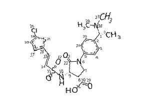 C[C@H](c1ccc(N2CC[C@H](NS(=O)(=O)C=Cc3ccc(Cl)s3)C2=O)cc1)N(C)C.O=CO